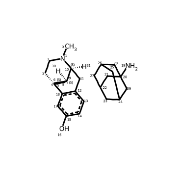 CN1CC[C@@]23CCCC[C@@H]2[C@@H]1Cc1ccc(O)cc13.NC12CC3CC(CC(C3)C1)C2